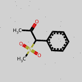 CC(=O)C(c1ccccc1)S(C)(=O)=O